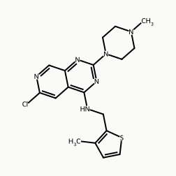 Cc1ccsc1CNc1nc(N2CCN(C)CC2)nc2cnc(Cl)cc12